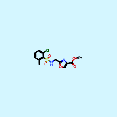 Cc1cccc(Cl)c1S(=O)(=O)NCc1nc(C(=O)OC(C)C)co1